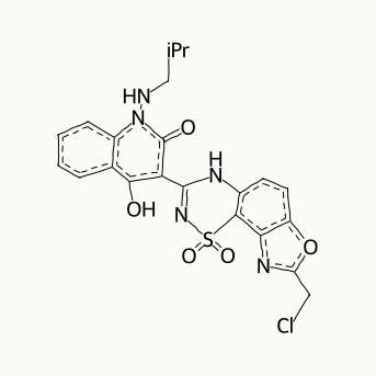 CC(C)CNn1c(=O)c(C2=NS(=O)(=O)c3c(ccc4oc(CCl)nc34)N2)c(O)c2ccccc21